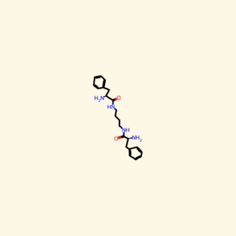 N[C@@H](Cc1ccccc1)C(=O)NCCCCNC(=O)[C@@H](N)Cc1ccccc1